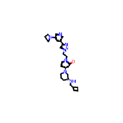 O=c1cc(N2CCC[C@@H](NCC3CCC3)C2)ccn1CCn1cc(-c2cncc(N3CCC3)c2)nn1